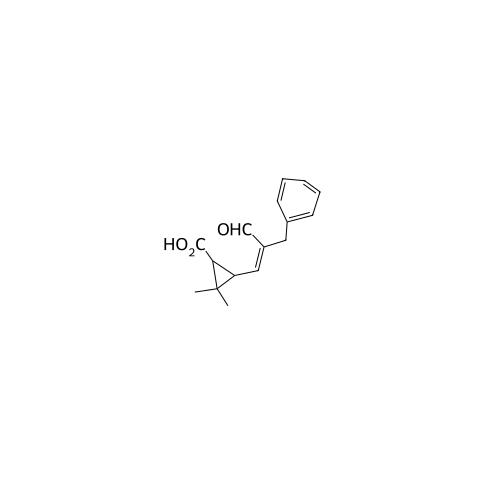 CC1(C)C(/C=C(\C=O)Cc2ccccc2)C1C(=O)O